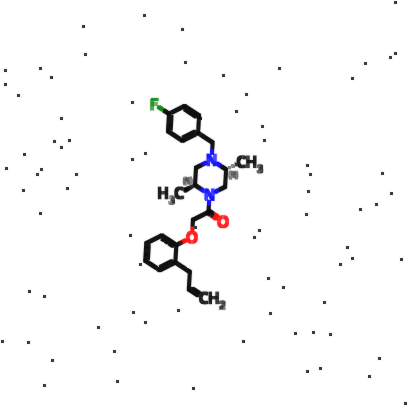 C=CCc1ccccc1OCC(=O)N1C[C@@H](C)N(Cc2ccc(F)cc2)C[C@@H]1C